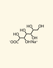 O=C([O-])[C@@H](O)[C@H](O)[C@@H](O)[C@H](O)[C@@H](O)CO.[Na+]